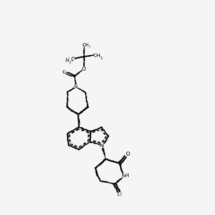 CC(C)(C)OC(=O)N1CCC(c2cccc3c2ccn3[C@@H]2CCC(=O)NC2=O)CC1